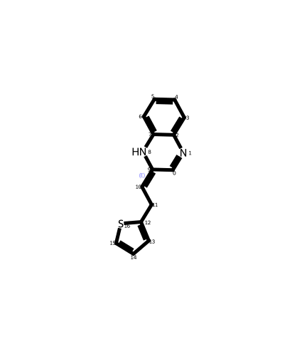 C1=Nc2ccccc2N/C1=C/Cc1cccs1